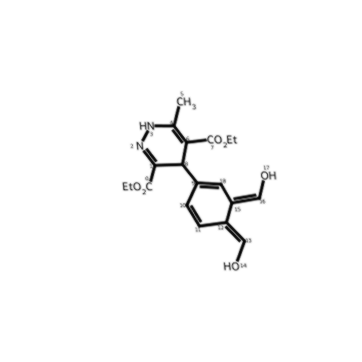 CCOC(=O)C1=NNC(C)=C(C(=O)OCC)C1c1ccc(=CO)c(=CO)c1